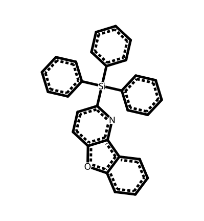 c1ccc([Si](c2ccccc2)(c2ccccc2)c2ccc3oc4ccccc4c3n2)cc1